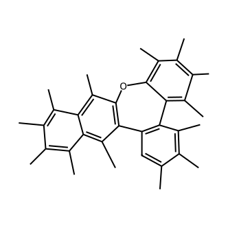 Cc1cc2c(c(C)c1C)-c1c(C)c(C)c(C)c(C)c1Oc1c-2c(C)c2c(C)c(C)c(C)c(C)c2c1C